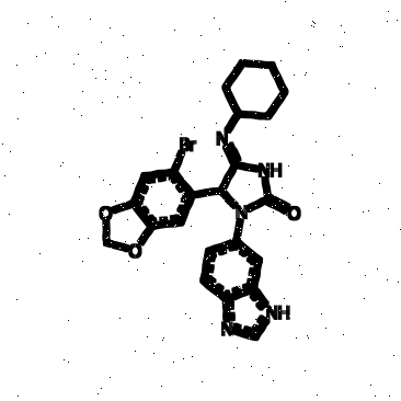 O=C1NC(=NC2CCCCC2)C(c2cc3c(cc2Br)OCO3)N1c1ccc2nc[nH]c2c1